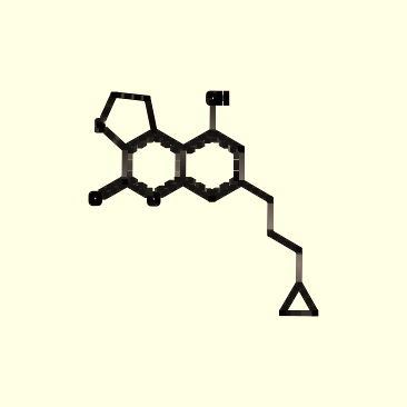 O=c1oc2cc(CCCC3CC3)cc(O)c2c2c1SCC2